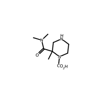 CN(C)C(=O)C1(C)CNCCN1C(=O)O